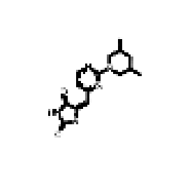 CC1CC(C)CN(c2nccc(C=C3SC(=O)NC3=O)n2)C1